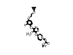 Cc1c(Oc2ccc(OCCOC3CC3)cc2F)ncnc1OC1CCN(OC(=O)OC(C)C)CC1